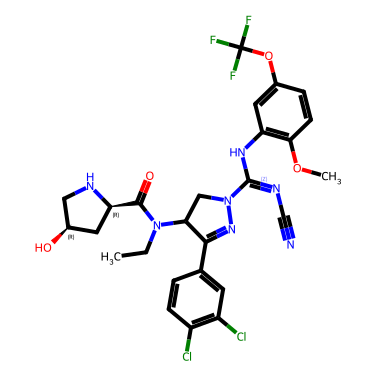 CCN(C(=O)[C@H]1C[C@@H](O)CN1)C1CN(/C(=N\C#N)Nc2cc(OC(F)(F)F)ccc2OC)N=C1c1ccc(Cl)c(Cl)c1